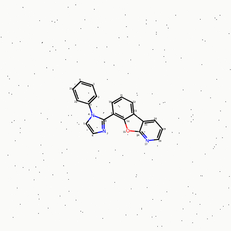 c1ccc(-n2ccnc2-c2cccc3c2oc2ncccc23)cc1